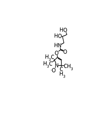 CC1(C)C=C(OC(=O)NCC(O)CO)C(C)(C)N1[O]